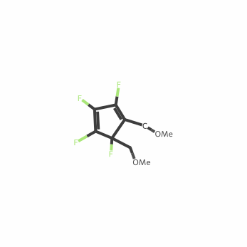 COCC1=C(F)C(F)=C(F)C1(F)COC